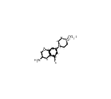 NC1COc2cc(N3CCN(C(=O)O)CC3)cc(F)c2C1